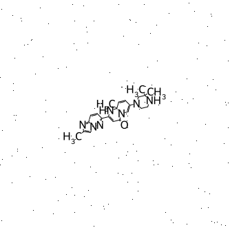 Cc1cn2nc(C3=CC(=O)N4C=C(N5CCNC(C)(C)C5)C=CC4(C)N3)ccc2n1